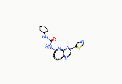 O=C(Nc1ccc2ncc(-c3cncs3)nc2n1)NC1CCCC1